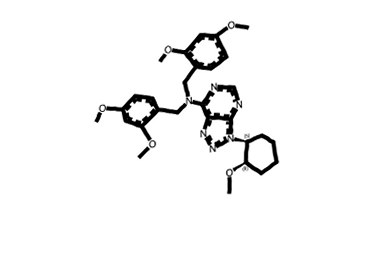 COc1ccc(CN(Cc2ccc(OC)cc2OC)c2ncnc3c2nnn3[C@H]2CCCC[C@H]2OC)c(OC)c1